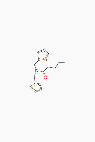 C[CH]CCC(=O)N(Cc1cccs1)Cc1cccs1